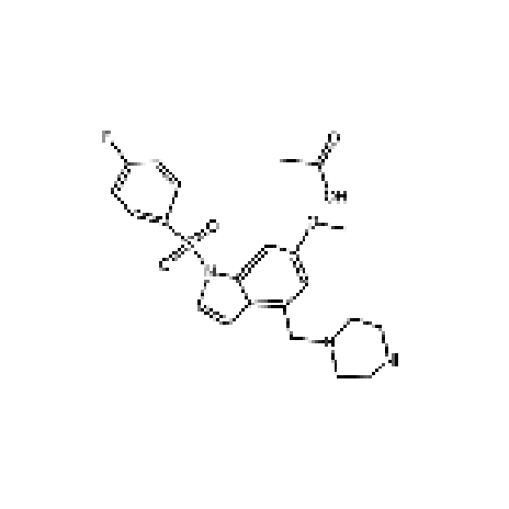 CC(=O)O.COc1cc(CN2CCNCC2)c2ccn(S(=O)(=O)c3ccc(F)cc3)c2c1